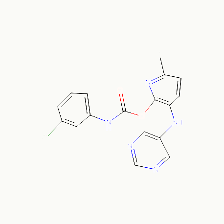 Cc1ccc(Nc2cncnc2)c(OC(=O)Nc2cccc(Cl)c2)n1